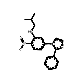 CC(C)CNc1cc(-n2ccnc2-c2ccccc2)ccc1[N+](=O)[O-]